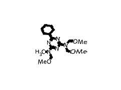 COCN(C)c1nc(C2CCCCC2)nc(N(COC)COC)n1